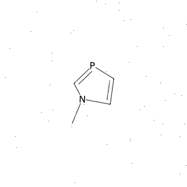 Cn1ccpc1